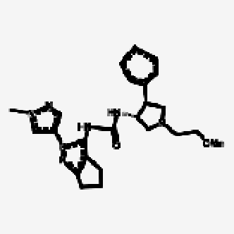 COCCN1C[C@H](NC(=O)Nc2c3c(nn2-c2cnn(C)c2)CCC3)[C@@H](c2ccccc2)C1